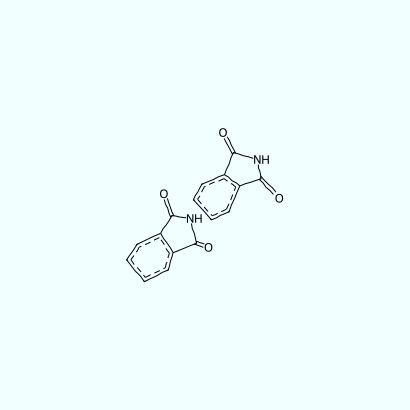 O=C1NC(=O)c2ccccc21.O=C1NC(=O)c2ccccc21